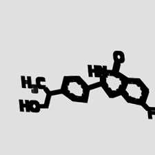 CC(CO)c1ccc(-c2cc3cc(F)ccc3c(=O)[nH]2)cc1